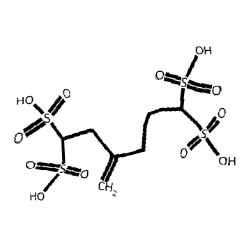 C=C(CCC(S(=O)(=O)O)S(=O)(=O)O)CC(S(=O)(=O)O)S(=O)(=O)O